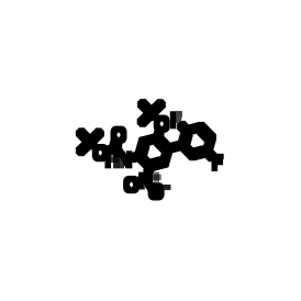 CC(C)(C)OC(=O)Nc1cc(OC(C)(C)C)c(-c2cc(F)ccc2F)cc1[N+](=O)[O-]